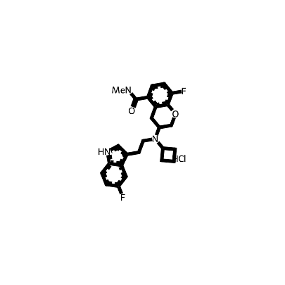 CNC(=O)c1ccc(F)c2c1CC(N(CCc1c[nH]c3ccc(F)cc13)C1CCC1)CO2.Cl